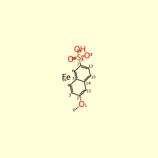 COc1ccc2cc(S(=O)(=O)O)ccc2c1.[Fe]